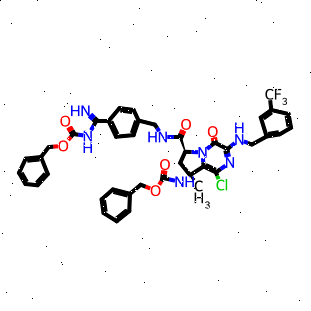 C[C@@]1(NC(=O)OCc2ccccc2)C[C@@H](C(=O)NCc2ccc(C(=N)NC(=O)OCc3ccccc3)cc2)n2c1c(Cl)nc(NCc1cccc(C(F)(F)F)c1)c2=O